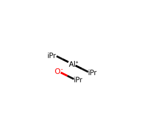 CC(C)[O-].C[CH](C)[Al+][CH](C)C